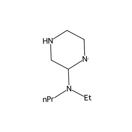 CCCN(CC)C1CNCC[N]1